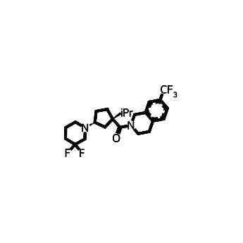 CC(C)[C@]1(C(=O)N2CCc3ccc(C(F)(F)F)cc3C2)CC[C@@H](N2CCCC(F)(F)C2)C1